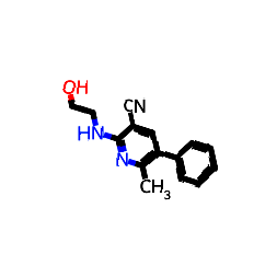 Cc1nc(NCCO)c(C#N)cc1-c1ccccc1